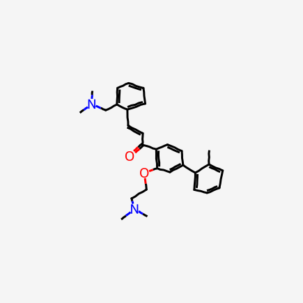 Cc1ccccc1-c1ccc(C(=O)C=Cc2ccccc2CN(C)C)c(OCCN(C)C)c1